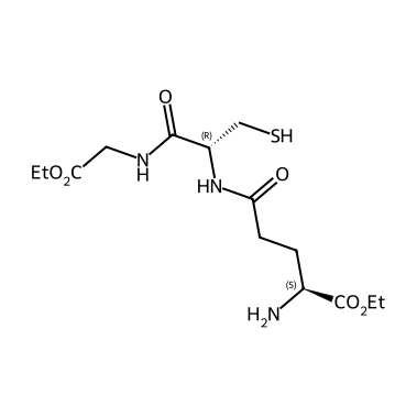 CCOC(=O)CNC(=O)[C@H](CS)NC(=O)CC[C@H](N)C(=O)OCC